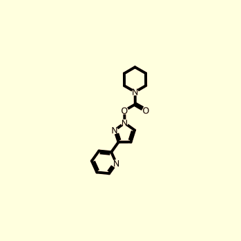 O=C(On1ccc(-c2ccccn2)n1)N1CCCCC1